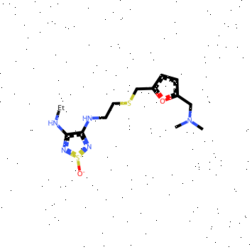 CCNc1n[s+]([O-])nc1NCCSCc1ccc(CN(C)C)o1